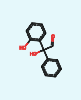 O=CC(O)(c1ccccc1)c1ccccc1O